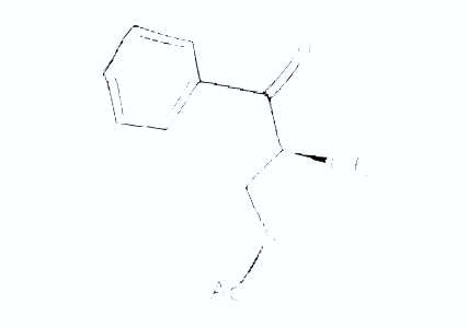 CC(=O)SC[C@H](C)C(=O)c1ccccc1